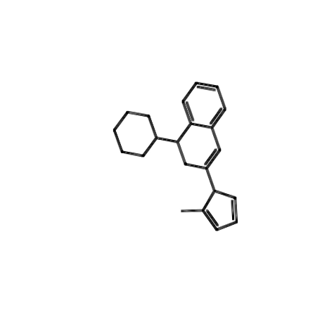 CC1=CC=CC1C1=Cc2ccccc2C(C2CCCCC2)C1